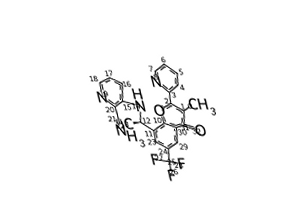 Cc1c(-c2ccccn2)oc2c([C@@H](C)Nc3cccnc3C#N)cc(C(F)(F)F)cc2c1=O